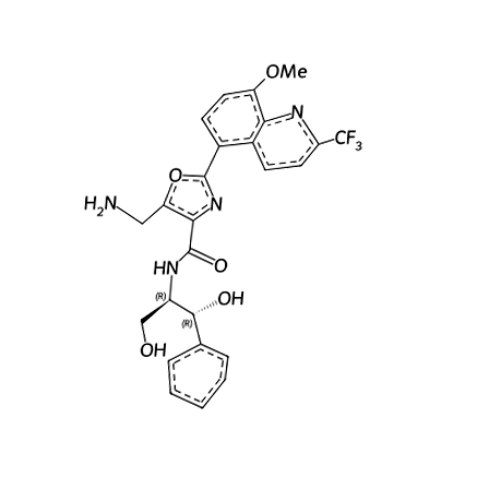 COc1ccc(-c2nc(C(=O)N[C@H](CO)[C@H](O)c3ccccc3)c(CN)o2)c2ccc(C(F)(F)F)nc12